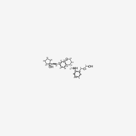 OCOCc1ccncc1NC[C@H]1CCOc2cc(C#CC3(O)CCCC3)ccc21